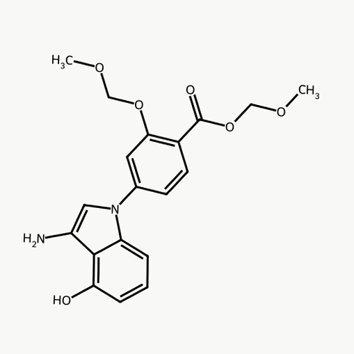 COCOC(=O)c1ccc(-n2cc(N)c3c(O)cccc32)cc1OCOC